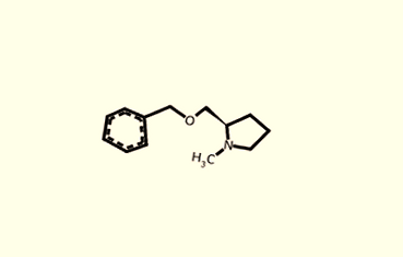 CN1CCC[C@@H]1COCc1ccccc1